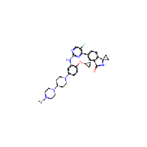 CN1CCN(C2CCN(c3ccc(OC4CC4)c(Nc4ncc(F)c(-c5ccc6c(c5)C(=O)NC65CC5)n4)c3)CC2)CC1